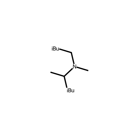 CCC(C)CN(C)C(C)C(C)CC